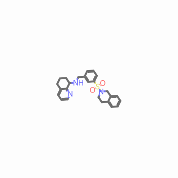 O=S(=O)(c1cccc(CNC2CCCc3cccnc32)c1)N1CCc2ccccc2C1